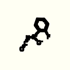 O=C=N[S+]([O-])c1ccccc1F